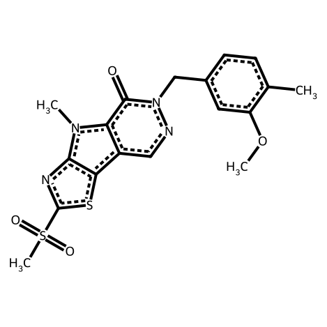 COc1cc(Cn2ncc3c4sc(S(C)(=O)=O)nc4n(C)c3c2=O)ccc1C